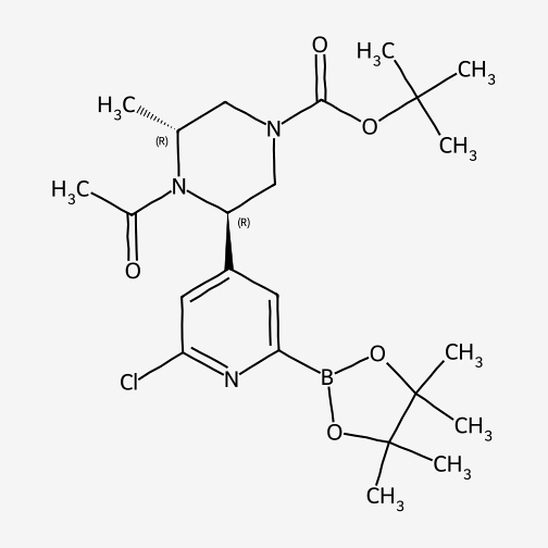 CC(=O)N1[C@H](C)CN(C(=O)OC(C)(C)C)C[C@H]1c1cc(Cl)nc(B2OC(C)(C)C(C)(C)O2)c1